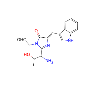 CC(O)C(N)C1=NC(=Cc2c[nH]c3ccccc23)C(=O)N1CC=O